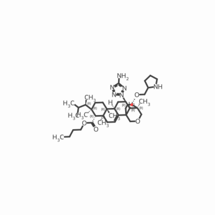 CCCCOC(=O)[C@@H]1[C@@](C)([C@H](C)C(C)C)CC[C@]2(C)[C@H]3CC[C@@H]4C5(COC[C@]4(C)[C@@H](OCC4CCCN4)[C@H](n4nnc(N)n4)C5)C3=CC[C@@]12C